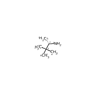 [CH2][C@H](N)C(C)(C)C